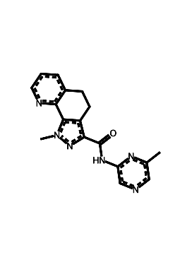 Cc1cncc(NC(=O)c2nn(C)c3c2CCc2cccnc2-3)n1